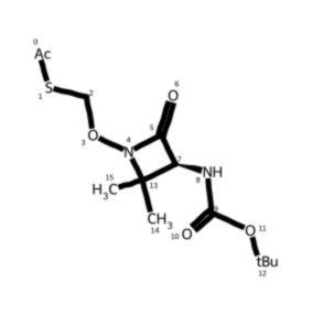 CC(=O)SCON1C(=O)[C@@H](NC(=O)OC(C)(C)C)C1(C)C